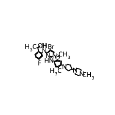 COc1cc(N2CCC(N3CCN(C)CC3)CC2)c(C)cc1Nc1ncc(Br)c(Nc2cc(F)ccc2C(C)O)n1